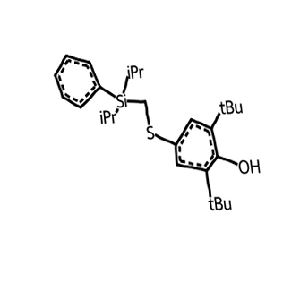 CC(C)[Si](CSc1cc(C(C)(C)C)c(O)c(C(C)(C)C)c1)(c1ccccc1)C(C)C